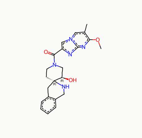 COc1nc2nc(C(=O)N3CC[C@]4(Cc5ccccc5CN4)[C@H](O)C3)cn2cc1C